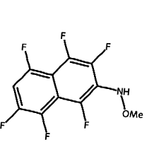 CONc1c(F)c(F)c2c(F)cc(F)c(F)c2c1F